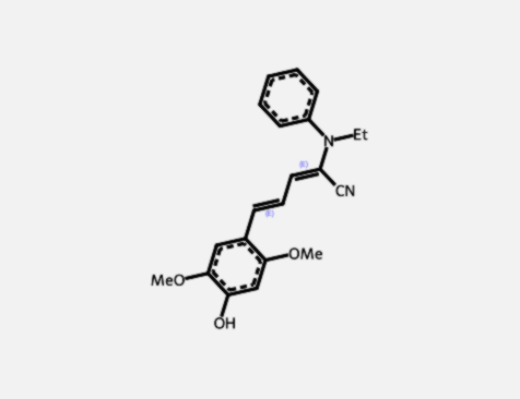 CCN(/C(C#N)=C/C=C/c1cc(OC)c(O)cc1OC)c1ccccc1